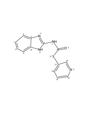 O=C(Nc1nc2ccccc2[nH]1)Sc1cccnc1